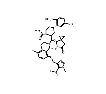 COC(=O)[C@@]1(C)CC[C@H](c2cc([N+](=O)[O-])ccc2C(=O)O)C[C@H]1C(=O)N1CCc2c(Cl)ccc(OCc3nnn(C)c3C(F)F)c2[C@H]1CN1CC2(CC2)CC1=O